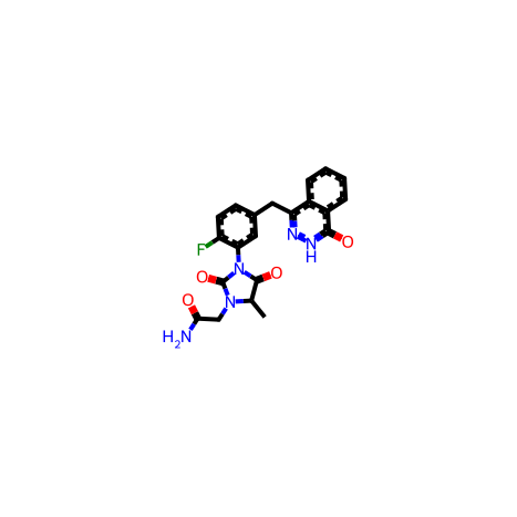 CC1C(=O)N(c2cc(Cc3n[nH]c(=O)c4ccccc34)ccc2F)C(=O)N1CC(N)=O